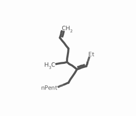 C=CCC(C)C(=CCC)CCCCCC